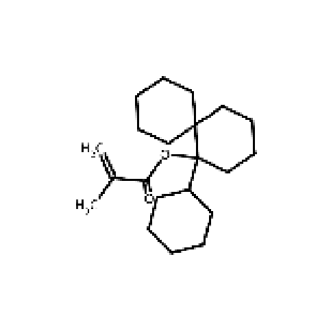 C=C(C)C(=O)OC1(C2CCCCC2)CCCCC12CCCCC2